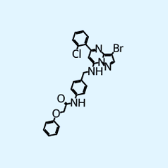 O=C(COc1ccccc1)Nc1ccc(CNc2cc(-c3ccccc3Cl)nc3c(Br)cnn23)cc1